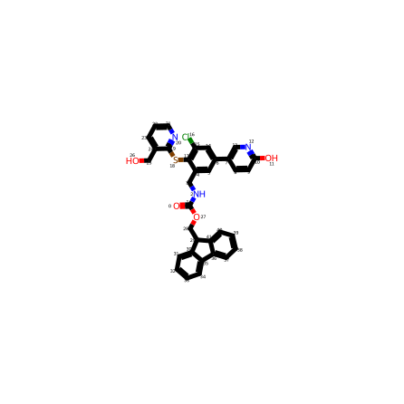 O=C(NCc1cc(-c2ccc(O)nc2)cc(Cl)c1Sc1ncccc1CO)OCC1c2ccccc2-c2ccccc21